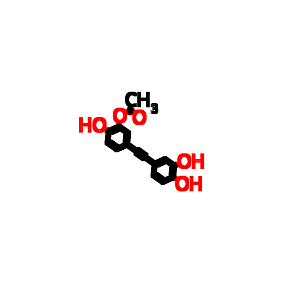 CC(=O)Oc1cc(C#Cc2ccc(O)c(O)c2)ccc1O